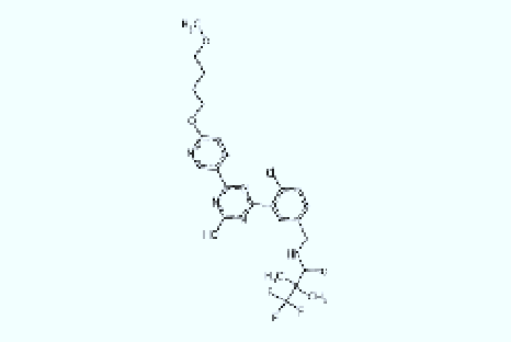 COCCCCOc1ccc(-c2nc(O)nc(-c3cc(CNC(=O)C(C)(C)C(F)(F)F)ccc3Cl)n2)cn1